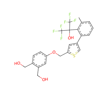 Cc1cccc(-c2csc(COc3ccc(CO)c(CO)c3)c2)c1C(O)(C(F)(F)F)C(F)(F)F